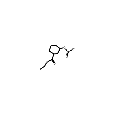 CCOC(=O)C1CCCC(O[N+](=O)[O-])C1